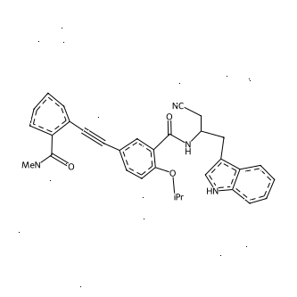 CNC(=O)c1ccccc1C#Cc1ccc(OC(C)C)c(C(=O)NC(CC#N)Cc2c[nH]c3ccccc23)c1